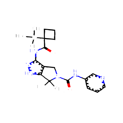 CC1(C)c2[nH]nc(NC(=O)C3([Si](C)(C)C)CCC3)c2CN1C(=O)Nc1cccnc1